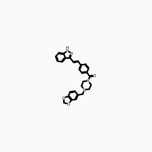 O=C(c1ccc(C=Cc2n[nH]c3ccccc23)cc1)N1CCN(Cc2ccc3c(c2)OCO3)CC1